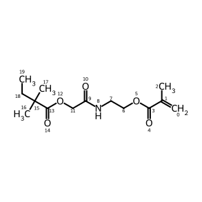 C=C(C)C(=O)OCCNC(=O)COC(=O)C(C)(C)CC